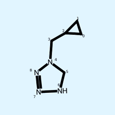 C1CC1CN1CNN=N1